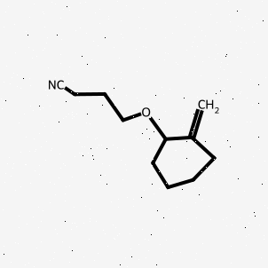 C=C1CCCCC1OCCCC#N